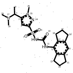 CC(c1cc(S(=O)(=O)NC(=O)Nc2c3c(cc4c2CCC4)CCC3)nn1C)N(C)C